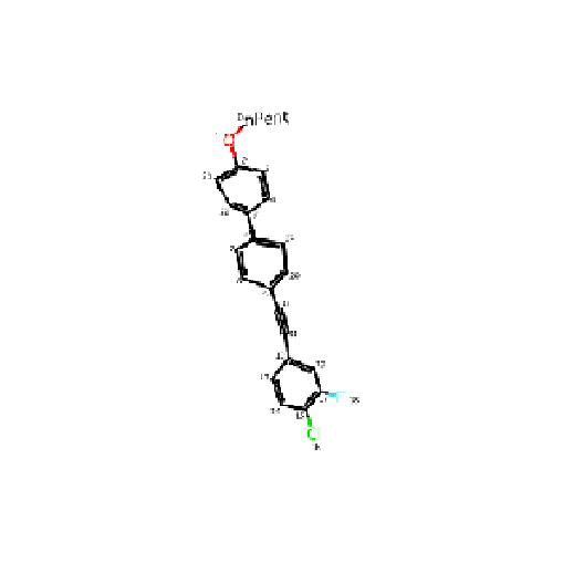 CCCCCOc1ccc(-c2ccc(C#Cc3ccc(Cl)c(F)c3)cc2)cc1